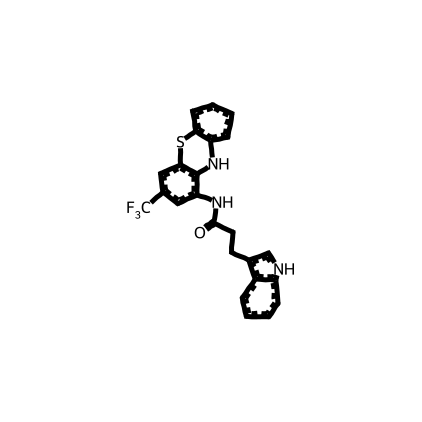 O=C(CCc1c[nH]c2ccccc12)Nc1cc(C(F)(F)F)cc2c1Nc1ccccc1S2